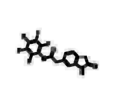 O=C1Cc2ccc(CC(=O)Oc3c(F)c(F)c(F)c(F)c3F)cc2N1